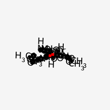 CC(C)c1ccccc1[C@@H]1COCCN1C1CC2(CCN(c3ccc(C(=O)NS(=O)(=O)c4cc5c(c([N+](=O)[O-])c4)N[C@H](CN4CCN(S(=O)(=O)C(C)C)CC4)CO5)c(N4c5cc6cc[nH]c6nc5O[C@H]5COCC[C@@H]54)c3)CC2)C1